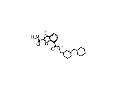 NC(=O)c1nc2c(C(=O)NCC3CCCN(CC4CCCCC4)C3)cccc2[nH]1